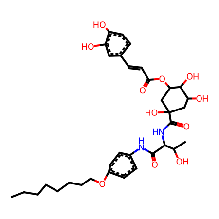 CCCCCCCCOc1ccc(NC(=O)C(NC(=O)C2(O)CC(O)C(O)C(OC(=O)/C=C/c3ccc(O)c(O)c3)C2)C(C)O)cc1